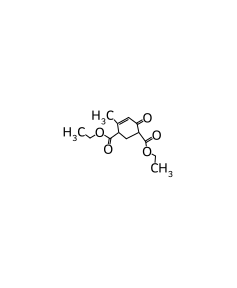 CCOC(=O)C1CC(C(=O)OCC)C(C)=CC1=O